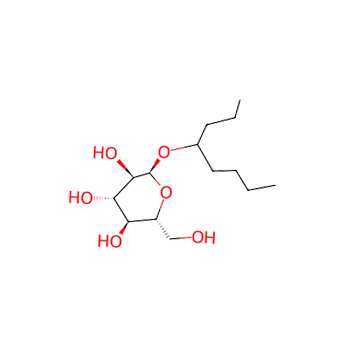 CCCCC(CCC)O[C@H]1O[C@H](CO)[C@@H](O)[C@H](O)[C@H]1O